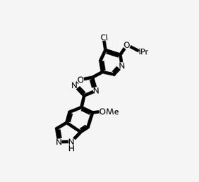 COc1cc2[nH]ncc2cc1-c1noc(-c2cnc(OC(C)C)c(Cl)c2)n1